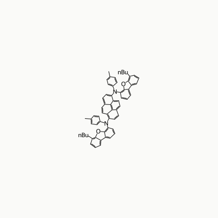 CCCCc1cccc2c1oc1c(N(c3ccc(C)cc3)c3ccc4ccc5c(N(c6ccc(C)cc6)c6cccc7c6oc6c(CCCC)cccc67)ccc6ccc3c4c65)cccc12